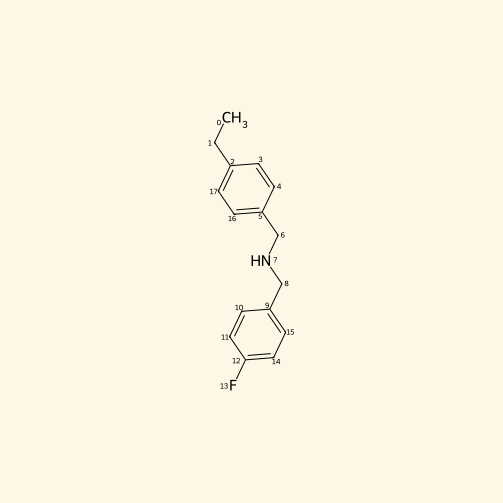 CCc1ccc(CNCc2ccc(F)cc2)cc1